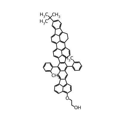 Cc1ccccc1-c1c2cc3c(cc2c(-c2ccccc2C)c2c4ccc5c6ccc7c8c6c(c6ccc(c12)c4c65)CCC=8c1ccc(C(C)(C)C)cc1-7)c1cccc2c(OCCO)ccc3c21